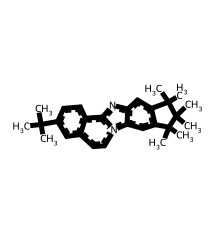 CC(C)(C)c1ccc2c(ccn3c4cc5c(cc4nc23)C(C)(C)C(C)(C)C5(C)C)c1